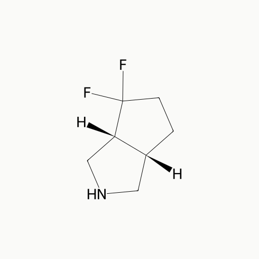 FC1(F)CC[C@@H]2CNC[C@@H]21